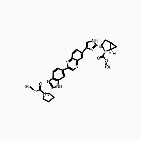 CC(C)(C)OC(=O)N1CCC[C@H]1c1nc2ccc(-c3cnc4cc(-c5c[nH]c([C@@H]6CC7C[C@H]7N6C(=O)OC(C)(C)C)n5)ccc4n3)cc2[nH]1